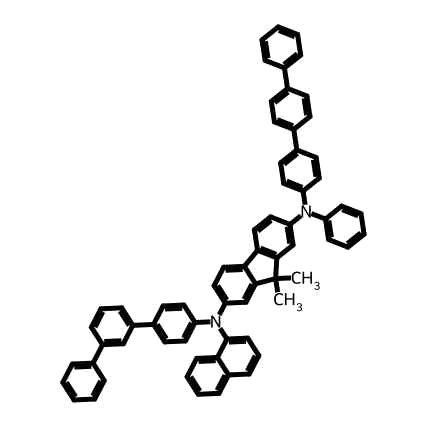 CC1(C)c2cc(N(c3ccccc3)c3ccc(-c4ccc(-c5ccccc5)cc4)cc3)ccc2-c2ccc(N(c3ccc(-c4cccc(-c5ccccc5)c4)cc3)c3cccc4ccccc34)cc21